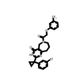 O=C(COc1cccc(C(F)(F)F)c1)N1CCCc2nc(C3(c4cccc(Cl)c4)CC3)[nH]c(=O)c2C1